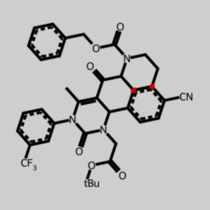 CC1=C(C(=O)C2CCCCN2C(=O)OCc2ccccc2)C(c2ccc(C#N)cc2)N(CC(=O)OC(C)(C)C)C(=O)N1c1cccc(C(F)(F)F)c1